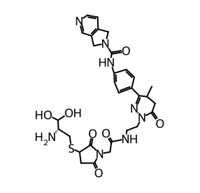 CC1CC(=O)N(CCNC(=O)CN2C(=O)CC(SC[C@H](N)C(O)O)C2=O)N=C1c1ccc(NC(=O)N2Cc3ccncc3C2)cc1